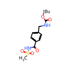 CC(C)(C)OC(=O)NCc1ccc(C(=O)NS(C)(=O)=O)cc1